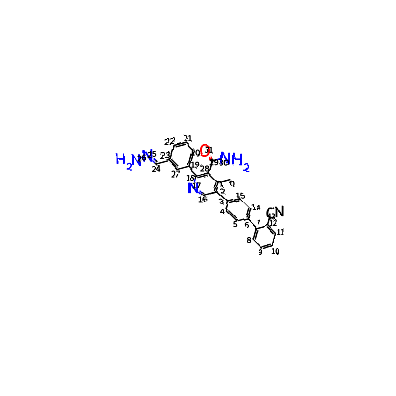 Cc1c(-c2ccc(-c3ccccc3C#N)cc2)cnc(-c2cccc(C=NN)c2)c1C(N)=O